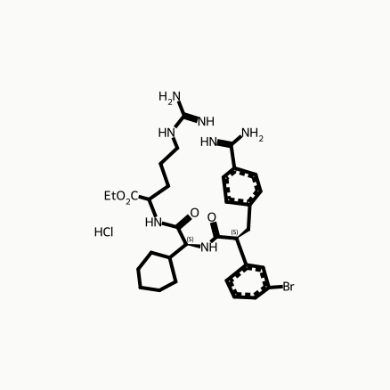 CCOC(=O)C(CCCNC(=N)N)NC(=O)[C@@H](NC(=O)[C@@H](Cc1ccc(C(=N)N)cc1)c1cccc(Br)c1)C1CCCCC1.Cl